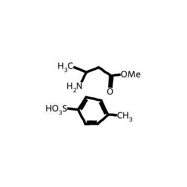 COC(=O)CC(C)N.Cc1ccc(S(=O)(=O)O)cc1